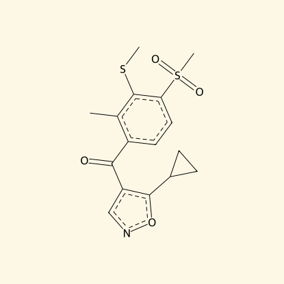 CSc1c(S(C)(=O)=O)ccc(C(=O)c2cnoc2C2CC2)c1C